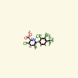 COC(=O)c1nc(-c2ccc(C(F)(F)F)c(Br)c2Cl)c(F)cc1Cl